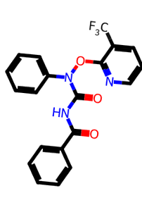 O=C(NC(=O)N(Oc1ncccc1C(F)(F)F)c1ccccc1)c1ccccc1